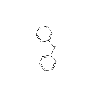 [I-].c1ccc([I+]c2ccccc2)cc1